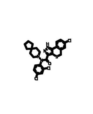 O=C(c1n[nH]c2c1SCc1cc(Cl)ccc1-2)N(c1ccc(Cl)cc1Cl)N1CCC2(CCCC2)CC1